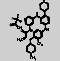 C=CC(=O)Nc1cccc(Nc2nc(Nc3ccc(CN4CCN(C)CC4)c(C(F)(F)F)c3)ncc2N2CCOCC2)c1.O=C(O)C(F)(F)F